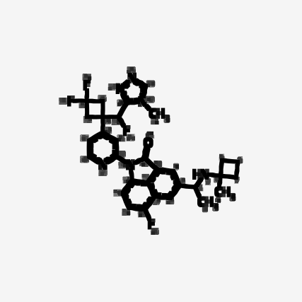 CC(NC1(C)CCC1)c1cc2c3c(ccc(F)c3c1)N(c1cc(C3(C(F)c4nncn4C)CC(F)(F)C3)ccn1)C2=O